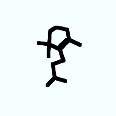 CC1=C(CCC(C)C)C(C)(C)CCC1